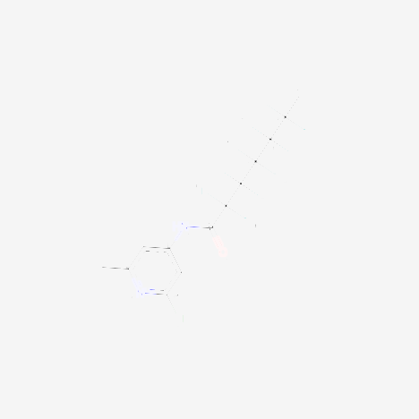 Cc1cc(NC(=O)C(F)(F)C(F)(F)C(F)(F)C(F)(F)C(C)(F)F)cc(Cl)n1